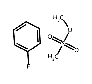 COS(C)(=O)=O.Fc1ccccc1